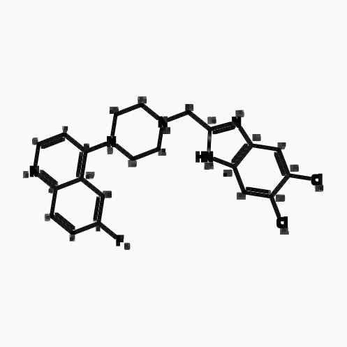 Fc1ccc2nccc(N3CCN(Cc4nc5cc(Cl)c(Cl)cc5[nH]4)CC3)c2c1